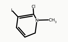 CN1CC=CC(I)=C1Cl